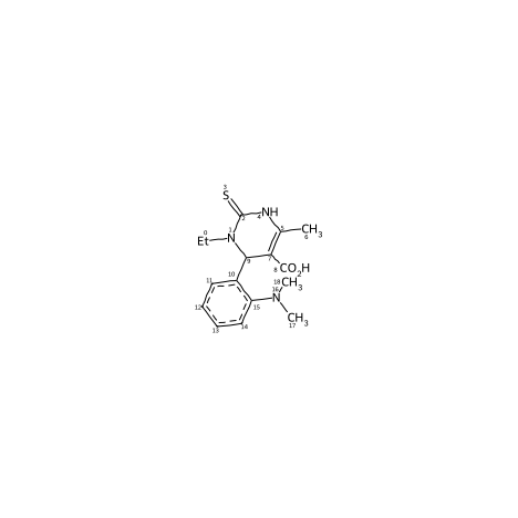 CCN1C(=S)NC(C)=C(C(=O)O)C1c1ccccc1N(C)C